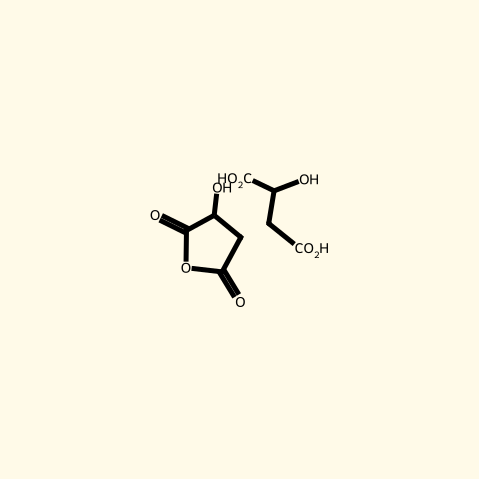 O=C(O)CC(O)C(=O)O.O=C1CC(O)C(=O)O1